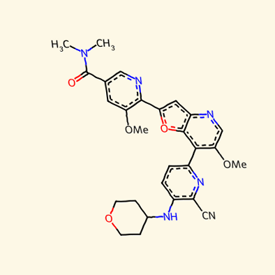 COc1cc(C(=O)N(C)C)cnc1-c1cc2ncc(OC)c(-c3ccc(NC4CCOCC4)c(C#N)n3)c2o1